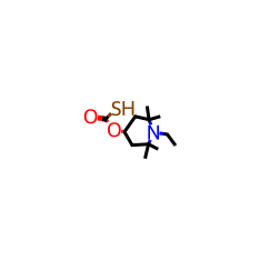 CCN1C(C)(C)CC(OC(=O)S)CC1(C)C